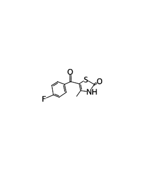 Cc1[nH]c(=O)sc1C(=O)c1ccc(F)cc1